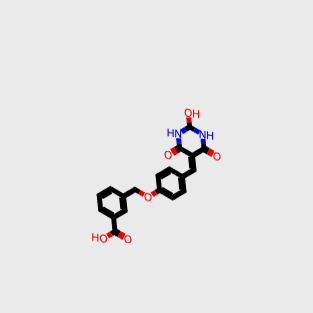 O=C1NC(O)NC(=O)C1=Cc1ccc(OCc2cccc(C(=O)O)c2)cc1